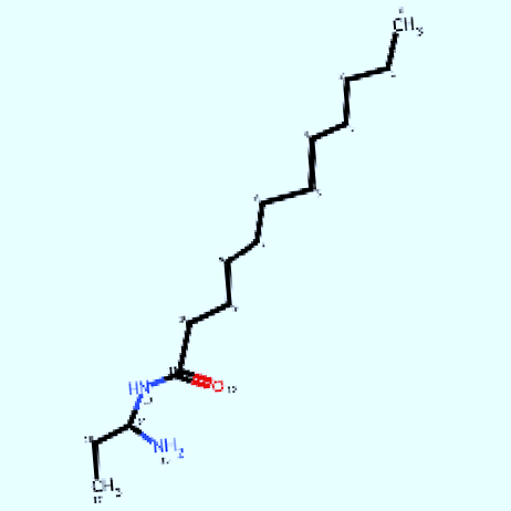 CCCCCCCCCCCC(=O)NC(N)CC